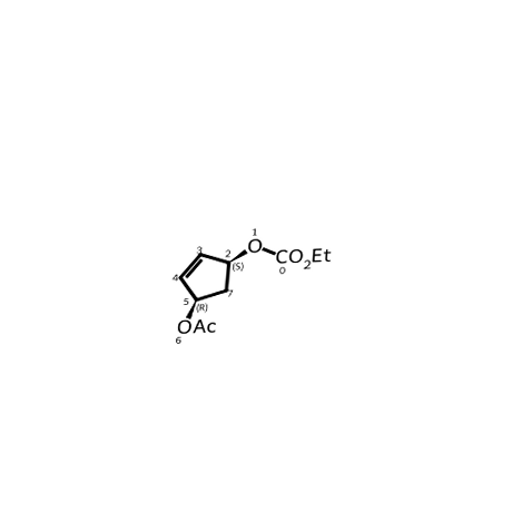 CCOC(=O)O[C@@H]1C=C[C@H](OC(C)=O)C1